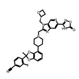 CC1(c2ccc(C#N)cc2F)Oc2cccc(C3CCN(Cc4nc5cc(-c6noc(=O)[nH]6)ncc5n4C[C@@H]4CCO4)CC3)c2O1